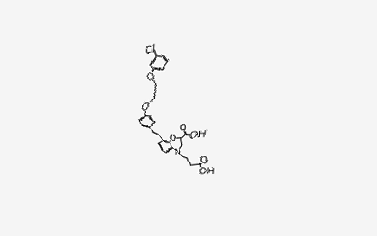 O=C(O)CCCN1CC(C(=O)O)Oc2c(/C=C/c3ccc(OCCCOc4cccc(Cl)c4)cc3)cccc21